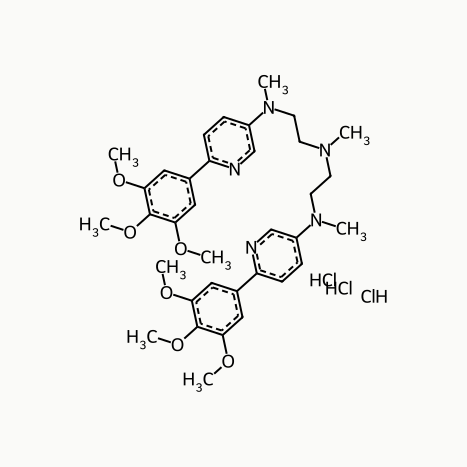 COc1cc(-c2ccc(N(C)CCN(C)CCN(C)c3ccc(-c4cc(OC)c(OC)c(OC)c4)nc3)cn2)cc(OC)c1OC.Cl.Cl.Cl